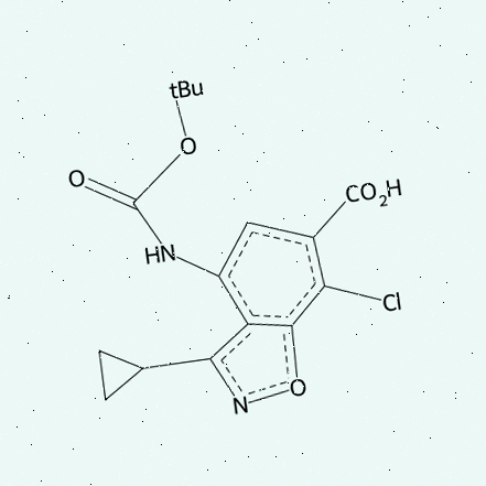 CC(C)(C)OC(=O)Nc1cc(C(=O)O)c(Cl)c2onc(C3CC3)c12